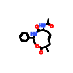 CC(=O)N[C@@H]1C/C=C/C[C@@H](C)C(=O)OC[C@@H](c2ccccc2)NC1=O